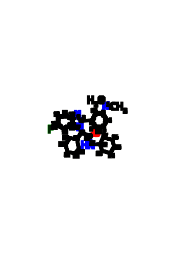 CN(C)c1cccc(-c2nc3ccc(F)cc3n2C(C(=O)NC2CCCCC2)C2CCCCC2)c1